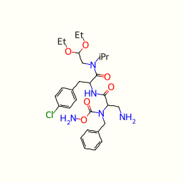 CCOC(CN(C(=O)C(Cc1ccc(Cl)cc1)NC(=O)C(CN)N(Cc1ccccc1)C(=O)ON)C(C)C)OCC